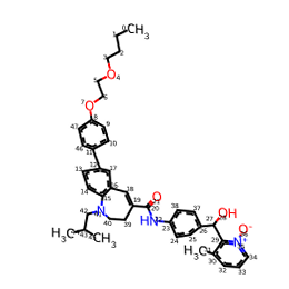 CCCCOCCOc1ccc(-c2ccc3c(c2)C=C(C(=O)Nc2ccc(C(O)c4c(C)ccc[n+]4[O-])cc2)CCN3CC(C)C)cc1